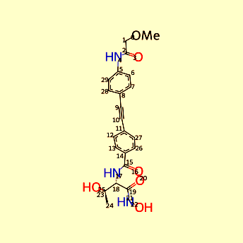 COCC(=O)Nc1ccc(C#Cc2ccc(C(=O)N[C@H](C(=O)NO)[C@@H](C)O)cc2)cc1